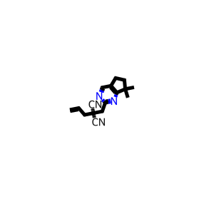 C=CCC(C#N)(C#N)Cc1ncc2c(n1)C(C)(C)CC2